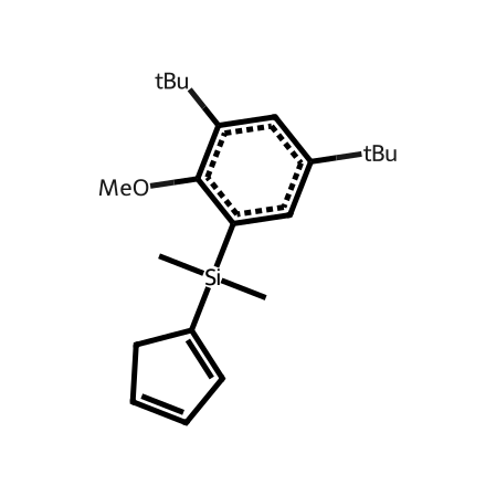 COc1c(C(C)(C)C)cc(C(C)(C)C)cc1[Si](C)(C)C1=CC=CC1